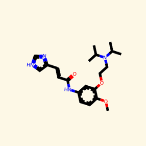 COc1ccc(NC(=O)C=Cc2c[nH]cn2)cc1OCCN(C(C)C)C(C)C